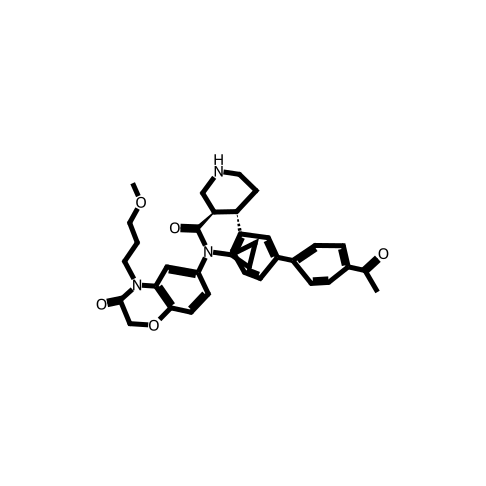 COCCCN1C(=O)COc2ccc(N(C(=O)[C@H]3CNCC[C@@H]3c3cccc(-c4ccc(C(C)=O)cc4)c3)C3CC3)cc21